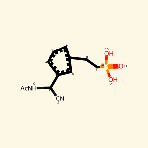 CC(=O)NC(C#N)c1cccc(CCP(=O)(O)O)c1